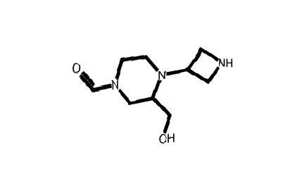 O=CN1CCN(C2CNC2)C(CO)C1